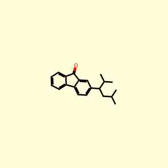 CC(C)CC(c1ccc2c(c1)C(=O)c1ccccc1-2)C(C)C